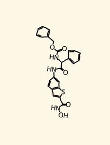 O=C(N[C@H](C(=O)Nc1ccc2cc(C(=O)NO)sc2c1)c1ccccc1)OCc1ccccc1